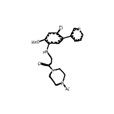 COc1cc(Cl)c(-c2cccnc2)cc1NCC(=O)N1CCN(C(C)=O)CC1